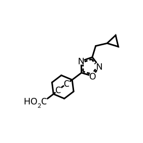 O=C(O)C12CCC(c3nc(CC4CC4)no3)(CC1)CC2